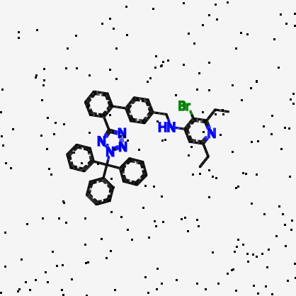 CCc1cc(NCc2ccc(-c3ccccc3-c3nnn(C(c4ccccc4)(c4ccccc4)c4ccccc4)n3)cc2)c(Br)c(CC)n1